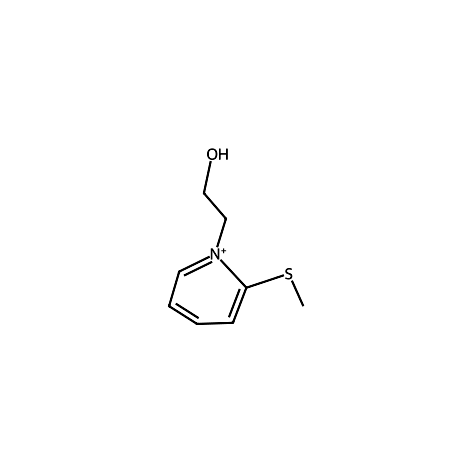 CSc1cccc[n+]1CCO